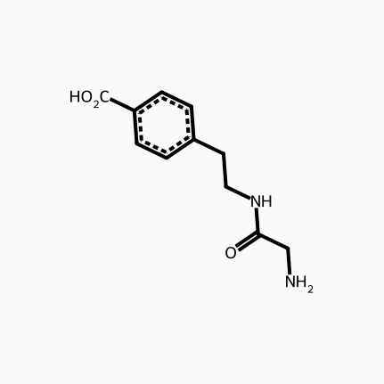 NCC(=O)NCCc1ccc(C(=O)O)cc1